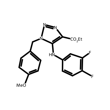 CCOC(=O)c1nnn(Cc2ccc(OC)cc2)c1Nc1ccc(F)c(F)c1